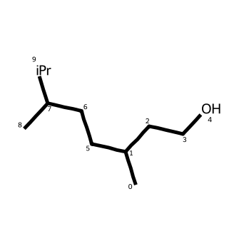 CC(CCO)CCC(C)C(C)C